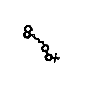 FC(F)(F)c1cccc(N2CCN(CCCCOc3cccc4c3SCCC4)CC2)c1